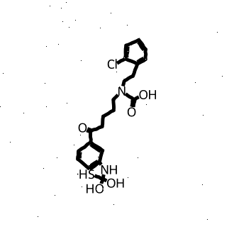 O=C(CCCCN(CCc1ccccc1Cl)C(=O)O)c1ccc2c(c1)NC(O)(O)[SH]2